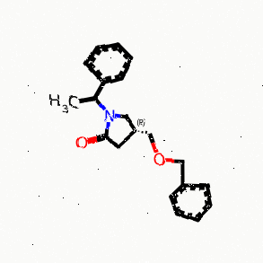 CC(c1ccccc1)N1C[C@H](COCc2ccccc2)CC1=O